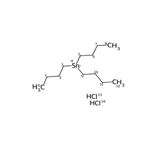 CCC[CH2][Sn]([CH2]CCC)[CH2]CCC.Cl.Cl